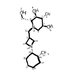 OC[C@@H]1[C@@H](O)[C@H](O)[C@@H](O)CN1CC1CN([C@H]2CCCC[C@H]2C(F)(F)F)C1